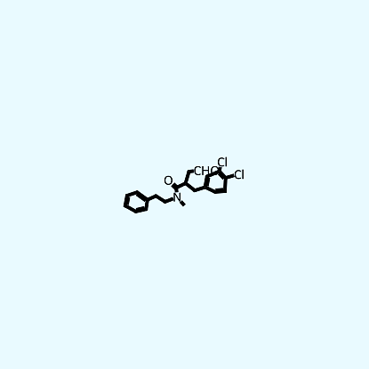 CN(CCc1ccccc1)C(=O)C(CC=O)Cc1ccc(Cl)c(Cl)c1